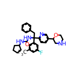 O=C(NC1CCCC1)NC(Cc1ccccc1)(c1cc(F)cc(C(F)(F)F)c1)c1ccc(C2CNCCO2)cn1